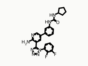 Nc1ncc(-c2cccc(NC(=O)NC3CCCC3)c2)cc1-c1nnnn1-c1cccc(F)c1F